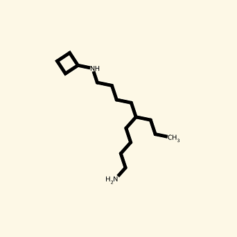 CCCC(CCCCN)CCCCNC1CCC1